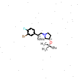 CN[C@H](CN1CC[C@H](O[Si](C)(C)C(C)(C)C)C1)c1ccc(F)c(Br)c1